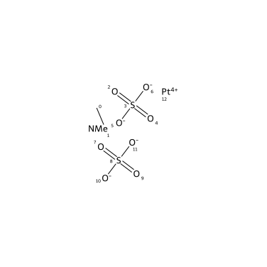 CNC.O=S(=O)([O-])[O-].O=S(=O)([O-])[O-].[Pt+4]